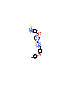 Cc1ccc(Oc2ccc(Cc3nsc(N4CCCN(C(=O)c5ccc6c(c5)nnn6C)CC4)n3)cc2)cc1